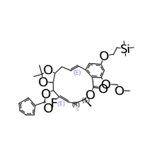 COCOc1cc(OCC[Si](C)(C)C)cc2c1C(=O)O[C@@H](C)[C@H](C)/C=C(/F)C(OC(=O)c1ccccc1)C1OC(C)(C)OC1C/C=C/2